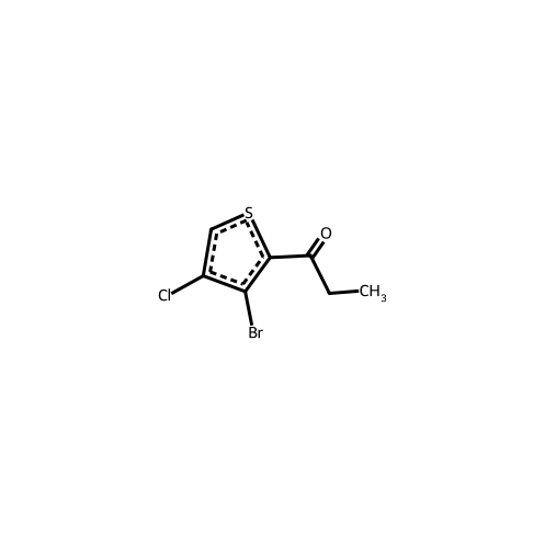 CCC(=O)c1scc(Cl)c1Br